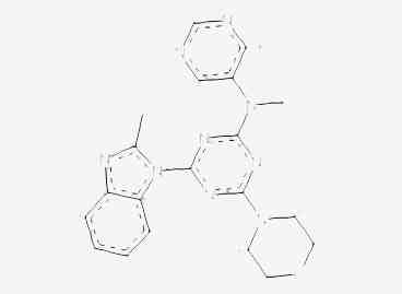 Cc1nc2ccccc2n1-c1nc(N2CCOCC2)nc(N(C)c2cncnc2)n1